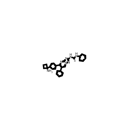 NC1(c2ccc(-c3nc4nc(NC(=S)Nc5ccccc5)nn4cc3-c3ccccc3)cc2)CCC1